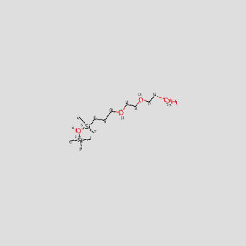 C[Si](C)(C)O[Si](C)(C)CCCOCCOCCO